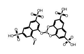 COc1cc(S(=O)(=O)O)cc2cc(S(=O)(=O)O)cc(OB3Oc4cc(S(=O)(=O)O)cc5cc(S(=O)(=O)O)cc(c45)O3)c12